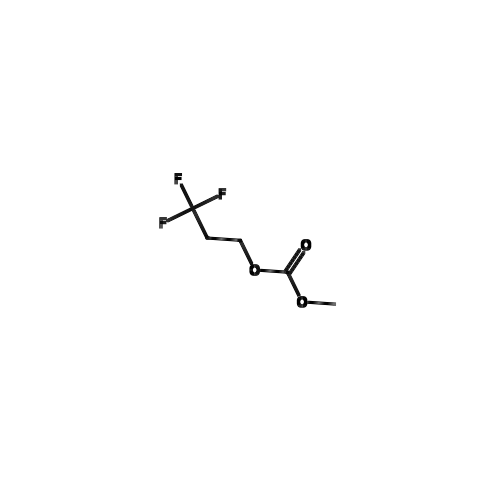 COC(=O)OCCC(F)(F)F